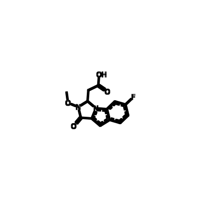 CON1C(=O)c2cc3ccc(F)cc3n2C1CC(=O)O